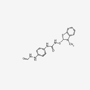 CN1c2ccccc2SC1SNC(=O)Nc1ccc(NNC=O)cc1